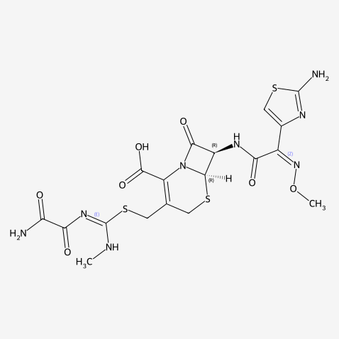 CN/C(=N\C(=O)C(N)=O)SCC1=C(C(=O)O)N2C(=O)[C@@H](NC(=O)/C(=N\OC)c3csc(N)n3)[C@H]2SC1